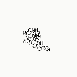 CC1c2ccc(-c3cccc(CN4CCN(C)CC4)c3)c(O)c2C(=O)C2=C(O)C3(O)C(=O)C(C(N)=O)=C(O)C(N(C)C)C3C(O)C21